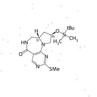 CSc1ncc2c(n1)N1C[C@H](O[Si](C)(C)C(C)(C)C)C[C@H]1CNC2=O